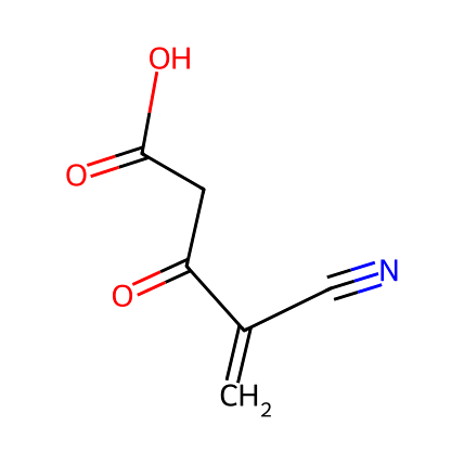 C=C(C#N)C(=O)CC(=O)O